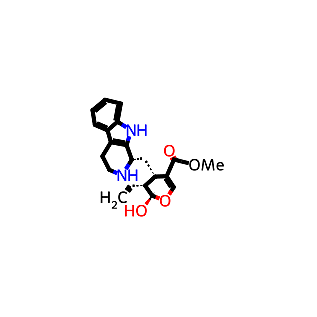 C=C[C@H]1[C@H](O)OC=C(C(=O)OC)[C@H]1C[C@@H]1NCCc2c1[nH]c1ccccc21